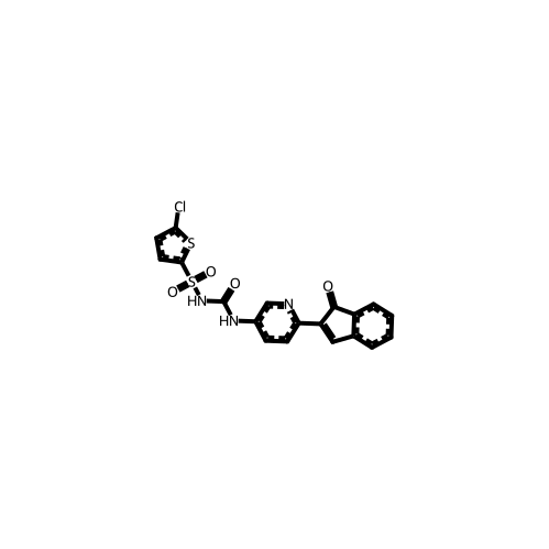 O=C(Nc1ccc(C2=Cc3ccccc3C2=O)nc1)NS(=O)(=O)c1ccc(Cl)s1